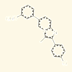 Cc1c(-c2ccc(Cl)cc2)nc2ccc(-c3cccc(C=O)c3)cn12